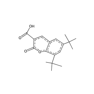 CC(C)(C)c1cc(C(C)(C)C)c2oc(=O)c(C(=O)O)cc2c1